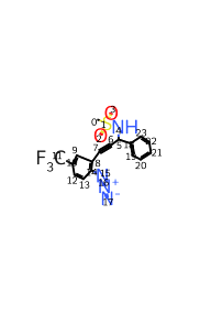 CS(=O)(=O)NC(C#Cc1cc(C(F)(F)F)ccc1N=[N+]=[N-])c1ccccc1